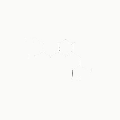 CC(CC(=O)O)Cc1cccc(CC(C)CC(=O)O)c1